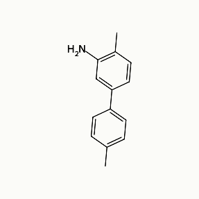 Cc1ccc(-c2ccc(C)c(N)c2)cc1